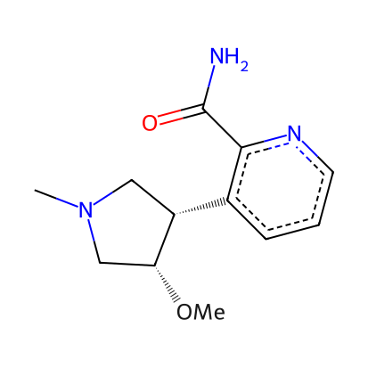 CO[C@@H]1CN(C)C[C@@H]1c1cccnc1C(N)=O